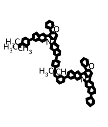 CC(C)(C)c1ccc(-c2ccc3cc4c5c6c(cc7c8cc9ccc(-c%10ccc(C(C)(C)Cc%11cccc(-c%12ccc%13cc%14c%15c%16c(cc%17c%18cc%19ccc(-c%20ccccc%20)cc%19cc%18n(c%14cc%13c%12)c%17%15)oc%12ccccc%12%16)c%11)cc%10)cc9cc8n(c4cc3c2)c75)oc2ccccc26)cc1